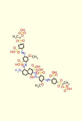 COc1cc(N=Nc2c(S(=O)(=O)O)cc3c(N=Nc4cc(OC)c(N=Nc5ccc(S(=O)(=O)C(C)OS(=O)(=O)O)cc5S(=O)(=O)O)cc4S(=O)(=O)O)c(N)ccc3c2O)c(S(=O)(=O)O)cc1N=Nc1ccc(S(=O)(=O)C(C)OS(=O)(=O)O)cc1S(=O)(=O)O